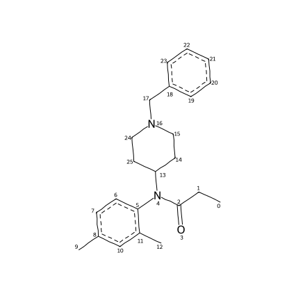 CCC(=O)N(c1ccc(C)cc1C)C1CCN(Cc2ccccc2)CC1